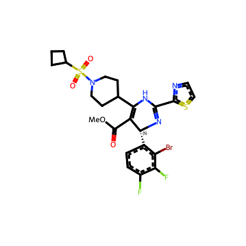 COC(=O)C1=C(C2CCN(S(=O)(=O)C3CCC3)CC2)NC(c2nccs2)=N[C@@H]1c1ccc(F)c(F)c1Br